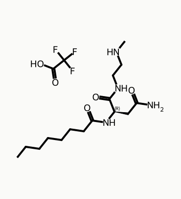 CCCCCCCC(=O)N[C@H](CC(N)=O)C(=O)NCCNC.O=C(O)C(F)(F)F